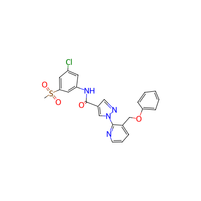 CS(=O)(=O)c1cc(Cl)cc(NC(=O)c2cnn(-c3ncccc3COc3ccccc3)c2)c1